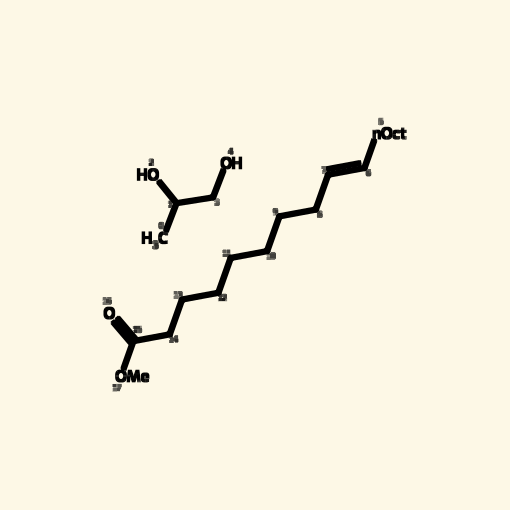 CC(O)CO.CCCCCCCCC=CCCCCCCCC(=O)OC